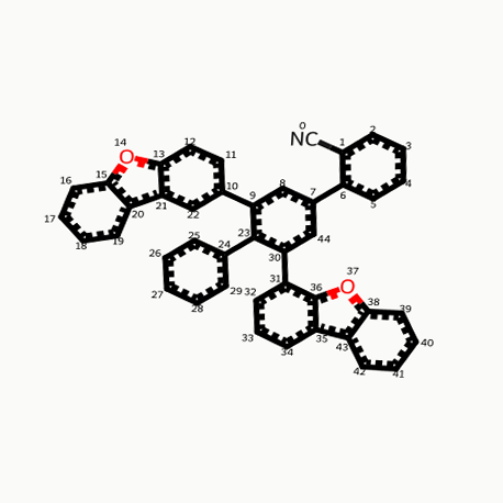 N#Cc1ccccc1-c1cc(-c2ccc3oc4ccccc4c3c2)c(-c2ccccc2)c(-c2cccc3c2oc2ccccc23)c1